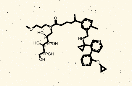 COCCCN(C[C@H](O)[C@@H](O)[C@H](O)[C@H](O)CO)C(=O)CCCC(C)c1ccc(C)c(CNC2(c3cnccc3-c3ccccc3OC3CC3)CC2)c1